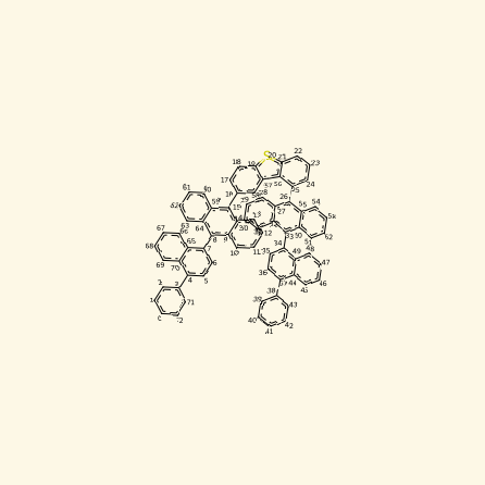 c1ccc(-c2ccc(-c3c4ccccc4c(-c4ccc5sc6cccc(-c7c8ccccc8c(-c8ccc(-c9ccccc9)c9ccccc89)c8ccccc78)c6c5c4)c4ccccc34)c3ccccc23)cc1